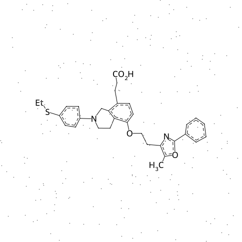 CCSc1ccc(N2CCc3c(OCCc4nc(-c5ccccc5)oc4C)ccc(CCC(=O)O)c3C2)cc1